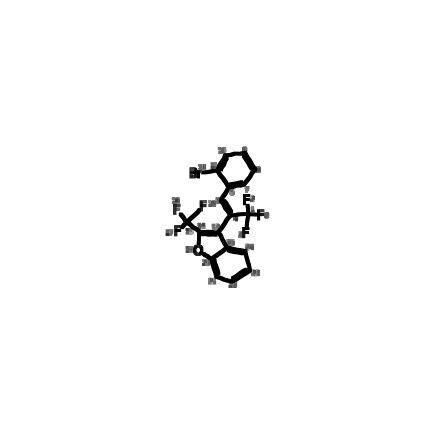 FC(F)(F)C(=Cc1ccccc1Br)c1c(C(F)(F)F)oc2ccccc12